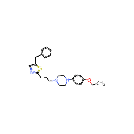 CCOc1ccc(N2CCN(CCCc3ncc(Cc4ccccc4)s3)CC2)cc1